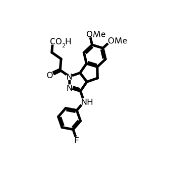 COc1cc2c(cc1OC)C1C(C2)C(Nc2cccc(F)c2)=NN1C(=O)CCC(=O)O